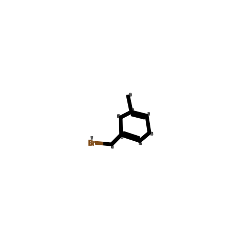 CC1=CCC=C(CBr)C1